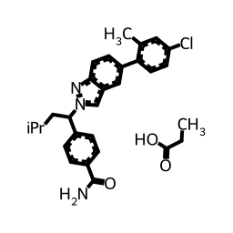 CCC(=O)O.Cc1cc(Cl)ccc1-c1ccc2nn(C(CC(C)C)c3ccc(C(N)=O)cc3)cc2c1